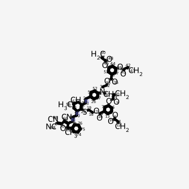 C=CC(=O)Oc1cc(OC(=O)C=C)cc(C(=O)OCCSC2=C(/C=C/c3ccc(N(C)CCOC(=O)c4cc(OC(=O)C=C)cc(OC(=O)C=C)c4)cc3)CC(C)(C)C/C2=C\C=C\C2=C(C#N)C(=C(C#N)C#N)OC2(c2ccccc2)C(F)(F)F)c1